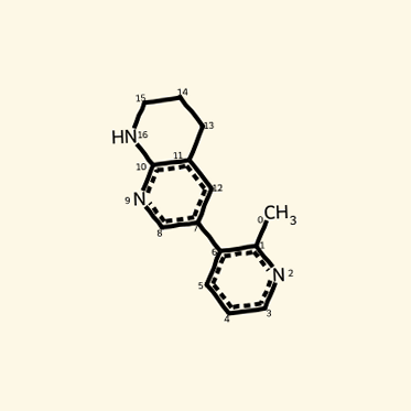 Cc1ncccc1-c1cnc2c(c1)CCCN2